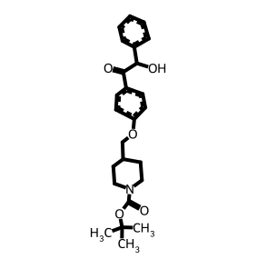 CC(C)(C)OC(=O)N1CCC(COc2ccc(C(=O)C(O)c3ccccc3)cc2)CC1